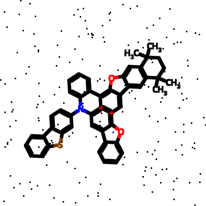 CC1(C)CCC(C)(C)c2cc3c(cc21)oc1c(-c2ccccc2N(c2ccc4c(c2)sc2ccccc24)c2ccc4oc5ccccc5c4c2)cccc13